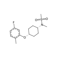 Cc1ccc(F)cc1O[C@H]1CC[C@@H](N(C)S(C)(=O)=O)CC1